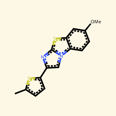 COc1ccc2c(c1)sc1nc(-c3ccc(C)s3)cn12